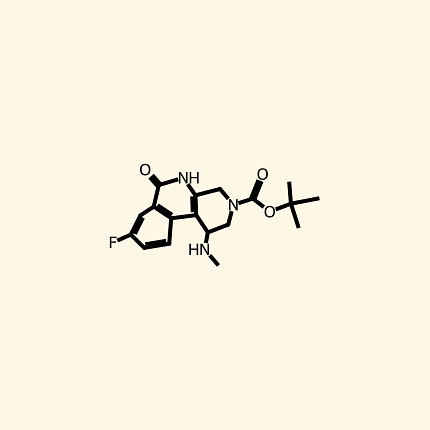 CNC1CN(C(=O)OC(C)(C)C)Cc2[nH]c(=O)c3cc(F)ccc3c21